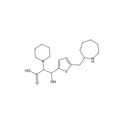 O=C(O)C(C(O)c1ccc(CC2CCCCCN2)s1)N1CCCCC1